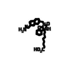 NN=Cc1ccc2ccc(CN3C(=O)NC(CCCCCCCC(=O)O)(c4ccccc4)C3=O)cc2c1